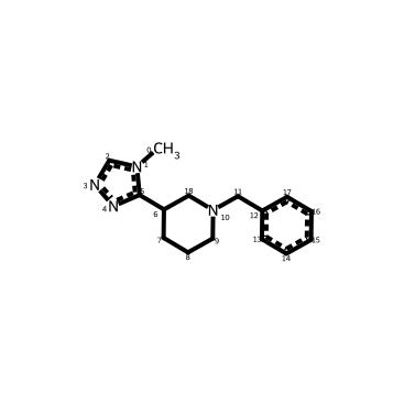 Cn1cnnc1C1CCCN(Cc2ccccc2)C1